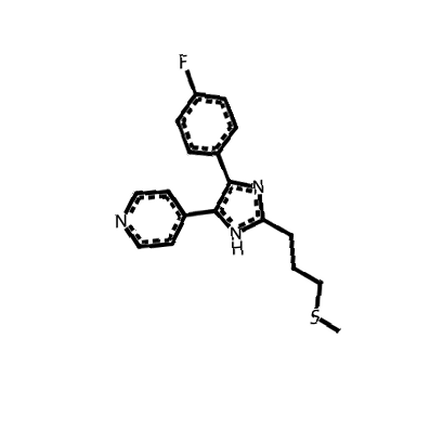 CSCCCc1nc(-c2ccc(F)cc2)c(-c2ccncc2)[nH]1